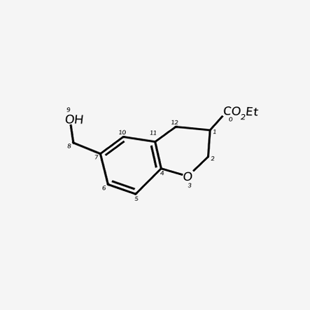 CCOC(=O)C1COc2ccc(CO)cc2C1